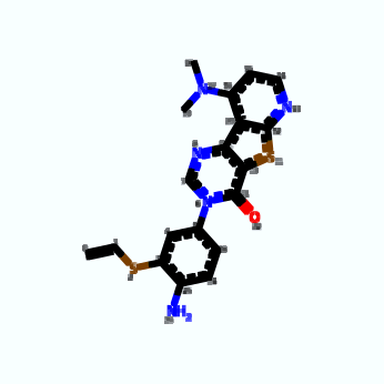 C=CSc1cc(-n2cnc3c(sc4nccc(N(C)C)c43)c2=O)ccc1N